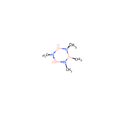 CB1N(C)BN(C)BN1C